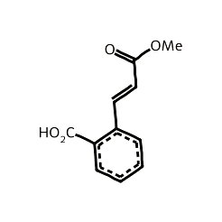 COC(=O)/C=C/c1ccccc1C(=O)O